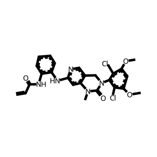 C=CC(=O)Nc1ccccc1Nc1cc2c(cn1)CN(c1c(Cl)c(OC)cc(OC)c1Cl)C(=O)N2C